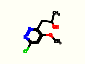 COc1cc(Cl)nnc1CC(C)O